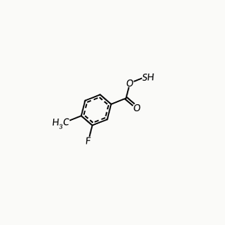 Cc1ccc(C(=O)OS)cc1F